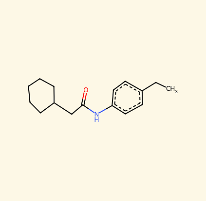 CCc1ccc(NC(=O)CC2CCCCC2)cc1